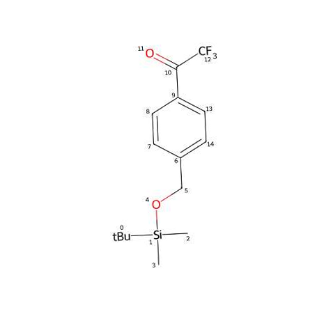 CC(C)(C)[Si](C)(C)OCc1ccc(C(=O)C(F)(F)F)cc1